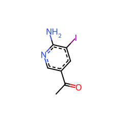 CC(=O)c1cnc(N)c(I)c1